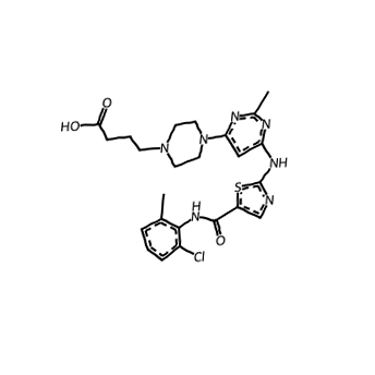 Cc1nc(Nc2ncc(C(=O)Nc3c(C)cccc3Cl)s2)cc(N2CCN(CCCC(=O)O)CC2)n1